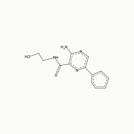 Nc1ncc(-c2ccccc2)nc1C(=O)NCCO